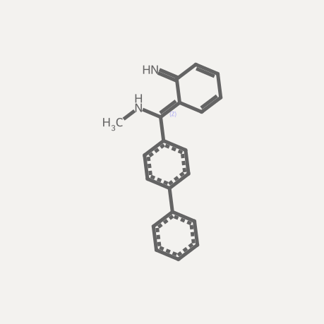 CN/C(=C1/C=CC=CC1=N)c1ccc(-c2ccccc2)cc1